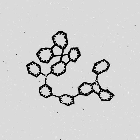 c1ccc(N(c2cccc(-c3cccc(-c4ccc5c(c4)c4ccccc4n5-c4ccccc4)c3)c2)c2ccc3c(c2)C2(c4ccccc4-c4ccccc42)c2ccccc2-3)cc1